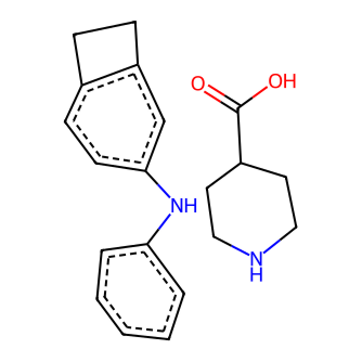 O=C(O)C1CCNCC1.c1ccc(Nc2ccc3c(c2)CC3)cc1